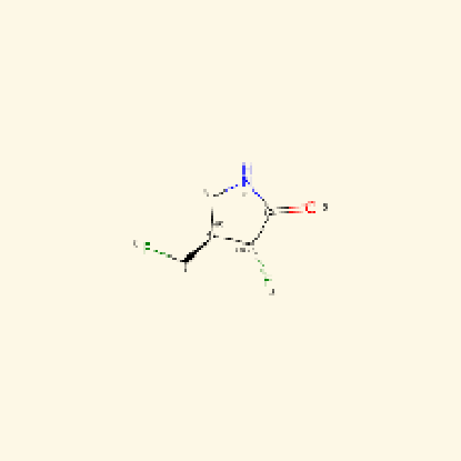 O=C1NC[C@H](CF)[C@H]1F